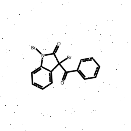 O=C(c1ccccc1)C1(Br)C(=O)N(Br)c2ccccc21